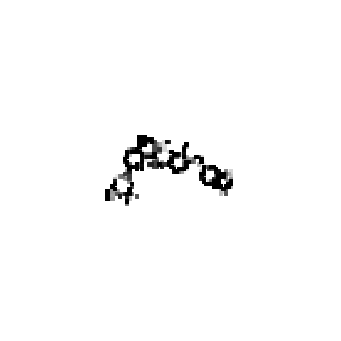 Cc1c(Oc2ccn3ncnc3c2)ccc(Nc2ncnc3ccc(N4CCNC(C)(C)C4)nc23)c1F